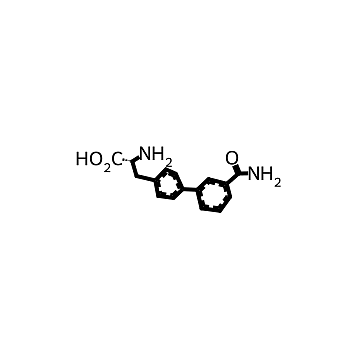 NC(=O)c1cccc(-c2ccc(C[C@@H](N)C(=O)O)cc2)c1